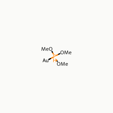 CO[PH]([Au])(OC)OC